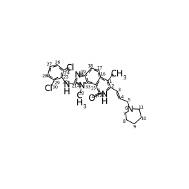 Cc1c(C=CCN2CCCCC2)[nH]c(=O)c2c1ccc1nc(Nc3c(Cl)cccc3Cl)n(C)c12